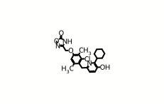 Cc1cc(OCc2noc(=O)[nH]2)c(C)c(Cl)c1Cc1ccc(O)c(C2CCCCC2)n1